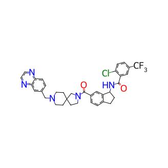 O=C(NC1CCc2ccc(C(=O)N3CCC4(CCN(Cc5ccc6nccnc6c5)CC4)C3)cc21)c1cc(C(F)(F)F)ccc1Cl